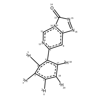 [2H]c1c([2H])c([2H])c(-c2cc3[n+](cn2)C(=O)N=N3)c([2H])c1[2H]